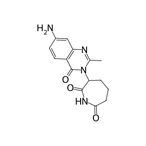 Cc1nc2cc(N)ccc2c(=O)n1C1CCCC(=O)NC1=O